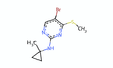 CSc1nc(NC2(C)CC2)ncc1Br